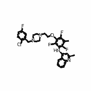 Cc1cc(Nc2c(F)c(C)c(F)c(OCCN3CCN(Cc4cc(F)ccc4Cl)CC3)c2F)c2ccccc2n1